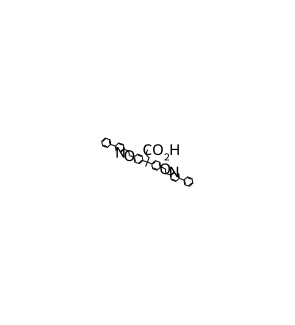 CC(CCC(=O)O)(c1ccc(OCc2ccc(-c3ccccc3)cn2)cc1)c1ccc(OCc2ccc(-c3ccccc3)cn2)cc1